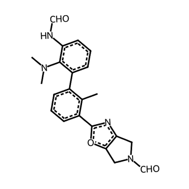 Cc1c(-c2nc3c(o2)CN(C=O)C3)cccc1-c1cccc(NC=O)c1N(C)C